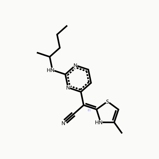 CCCC(C)Nc1nccc(/C(C#N)=C2/NC(C)=CS2)n1